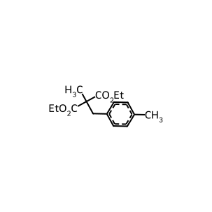 CCOC(=O)C(C)(Cc1ccc(C)cc1)C(=O)OCC